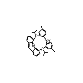 Cc1ccc2[nH]c3ccc(C)cc3p(C(C)C)c3cccc4cc5cccc(c5nc43)p(C(C)C)c2c1